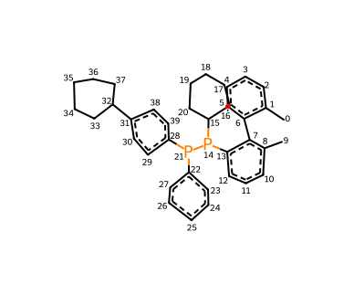 Cc1ccc[c]c1-c1c(C)cccc1P(C1CCCCC1)P(c1ccccc1)c1ccc(C2CCCCC2)cc1